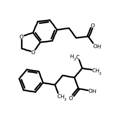 CC(CC(C(=O)O)C(C)C)c1ccccc1.O=C(O)CCc1ccc2c(c1)OCO2